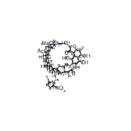 CO[C@H]1/C=C/O[C@@]2(C)Oc3c(C)c(O)c4c(O)c(c(/C=N/N5CCN(CCn6c([N+](=O)[O-])cnc6C)CC5)c(O)c4c3C2=O)NC(=O)/C(C)=C\C=C\[C@H](C)[C@H](O)[C@@H](C)[C@@H](O)[C@@H](C)[C@H](OC(C)=O)[C@@H]1C